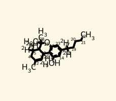 [2H]C1=C(C)CC([2H])([2H])[C@]2([2H])[C@@H]1c1c(O)cc(C([2H])([2H])CCCC)cc1OC2(C)C